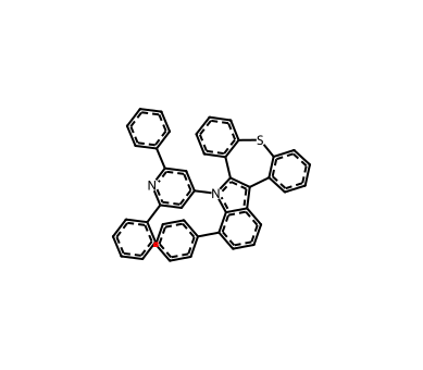 c1ccc(-c2cc(-n3c4c(c5cccc(-c6ccccc6)c53)-c3ccccc3Sc3ccccc3-4)cc(-c3ccccc3)n2)cc1